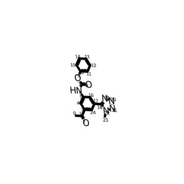 CC(=O)c1cc(NC(=O)Oc2ccccc2)cc(-c2nnnn2C)c1